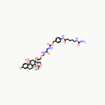 CCCC1OC[C@](C(=O)COCNC(=O)CNC(=O)OCc2ccc(NC(=O)CCCCNC(N)=O)cc2)([C@@]2(C)C[C@H](O)C3[C@@H](CCC4=CC(=O)C=C[C@@]43C)C2C)O1